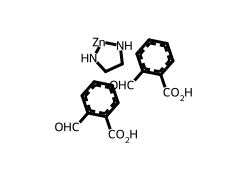 C1C[NH][Zn][NH]1.O=Cc1ccccc1C(=O)O.O=Cc1ccccc1C(=O)O